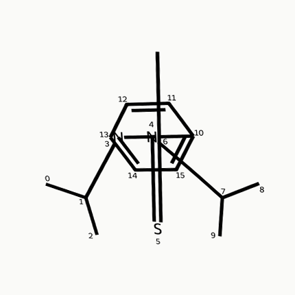 CC(C)N1C(=S)N(C(C)C)c2ccc1cc2